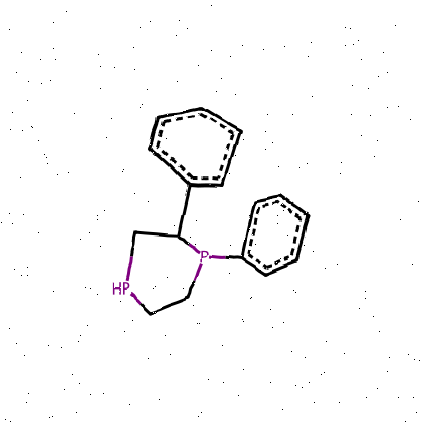 c1ccc(C2CPCCP2c2ccccc2)cc1